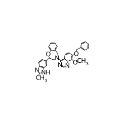 COc1c(OCc2ccccc2)ccc2c(N3Cc4ccccc4OC(c4ccc5nc(C)[nH]c5c4)C3)ncnc12